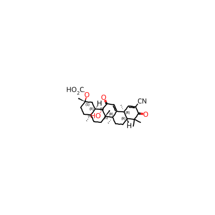 CC1(C)C(=O)C(C#N)=C[C@]2(C)C3=CC(=O)[C@]4(O)[C@@H]5C[C@@](C)(OC(=O)O)CC[C@]5(C)CC[C@@]4(C)[C@]3(C)CC[C@@H]12